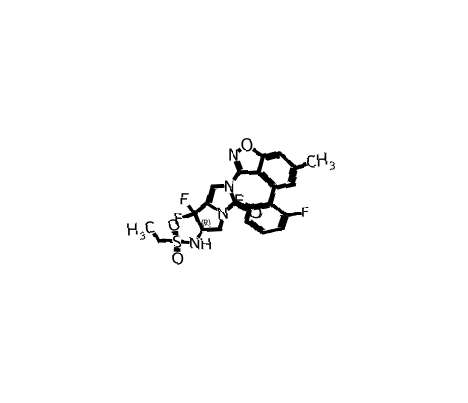 CCS(=O)(=O)N[C@@H]1Cn2c(cn(-c3noc4cc(C)cc(-c5c(F)cccc5F)c34)c2=O)C1(F)F